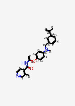 C=C(NC(=O)c1ccncc1C)Oc1ccc(N(C)Cc2cccc(C(=C)C)c2)cc1